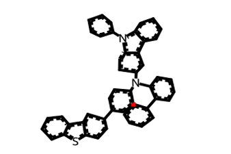 c1ccc(-c2ccccc2N(c2ccc(-c3ccc4sc5ccccc5c4c3)cc2)c2ccc3c(c2)c2ccccc2n3-c2ccccc2)cc1